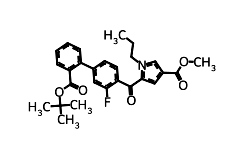 CCCn1cc(C(=O)OC)cc1C(=O)c1ccc(-c2ccccc2C(=O)OC(C)(C)C)cc1F